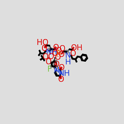 CC(C)CCN[C@@H](CC(=O)O)C(=O)OP(=O)(OC[C@H]1O[C@@H](n2ccc(=O)[nH]c2=O)[C@H](F)[C@@H]1OC(=O)OC(C)(C)C)OC(=O)[C@H](CC(=O)O)NCCC(C)Cc1ccccc1